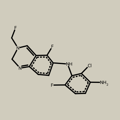 Nc1ccc(F)c(Nc2ccc3c(c2F)=CN(CF)CN=3)c1Cl